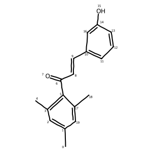 Cc1cc(C)c(C(=O)/C=C/c2cccc(O)c2)c(C)c1